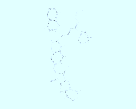 C\C=C/C=C(\C=C\N(c1ccc2ccccc2c1)c1ccc2cc(C=C3C(=O)c4cc5ccccc5cc4C3=O)ccc2c1)c1ccccc1